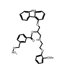 COc1ccccc1OCCNCC(COc1cccc2[nH]c3ccccc3c12)OC(=O)c1cccc(CO[N+](=O)[O-])c1